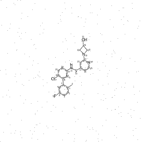 Cc1ccc(F)cc1-c1nc(NSc2ccnc(N3CC(O)C3)c2)ccc1Cl